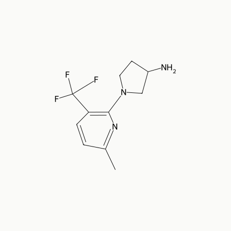 Cc1ccc(C(F)(F)F)c(N2CCC(N)C2)n1